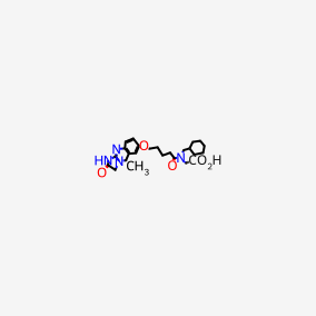 CC1c2cc(OCCCCC(=O)N(CC(=O)O)CC3CCCCC3)ccc2N=C2NC(=O)CN21